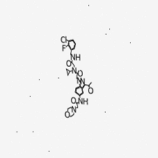 CC(=O)c1nn(CC(=O)N(CC(=O)NCc2cccc(Cl)c2F)C2CC2)c2ccc(NC(=O)CN3CCOCC3)cc12